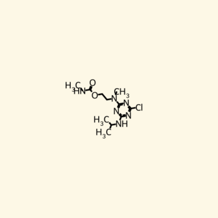 CNC(=O)OCCN(C)c1nc(Cl)nc(NC(C)C)n1